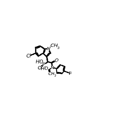 C=CN(C(=O)C(c1cn(C)c2ccc(Cl)cc12)P(=O)(O)O)c1ccc(F)cc1